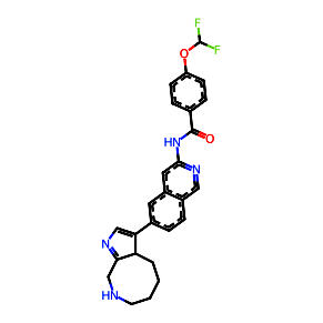 O=C(Nc1cc2cc(C3=CN=C4CNCCCCC34)ccc2cn1)c1ccc(OC(F)F)cc1